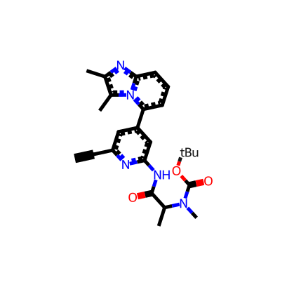 C#Cc1cc(-c2cccc3nc(C)c(C)n23)cc(NC(=O)C(C)N(C)C(=O)OC(C)(C)C)n1